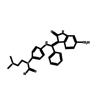 CCOC(=O)c1ccc2c(c1)NC(=O)/C2=C(\Nc1ccc(N(CCN(C)C)C(=O)CC)cc1)c1ccccc1